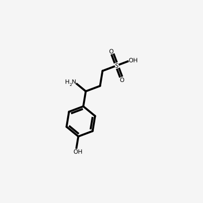 NC(CCS(=O)(=O)O)c1ccc(O)cc1